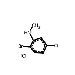 CNc1cc(Cl)ccc1Br.Cl